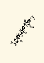 CC1CC(c2nc(-c3ccc(-c4c(Cl)cc(C(=O)Nc5ccc(N6CCN(C(=O)C(C)(C)C)C[C@H]6C)nc5)cc4OC(F)(F)F)cc3)c[nH]2)N(C(=O)OC(C)(C)C)C1